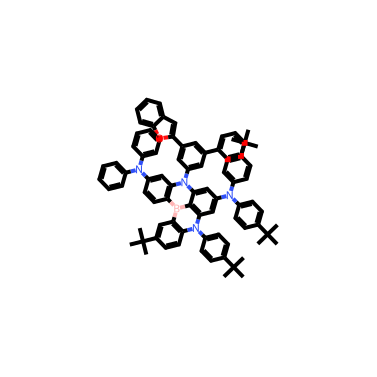 CC(C)(C)c1ccc(N(c2ccc(C(C)(C)C)cc2)c2cc3c4c(c2)N(c2cc(-c5ccccc5)cc(-c5cc6ccccc6o5)c2)c2cc(N(c5ccccc5)c5ccccc5)ccc2B4c2cc(C(C)(C)C)ccc2N3c2ccc(C(C)(C)C)cc2)cc1